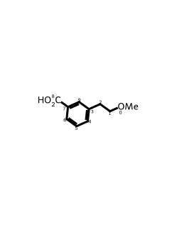 COCCc1cccc(C(=O)O)c1